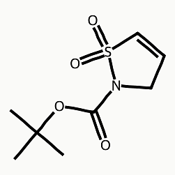 CC(C)(C)OC(=O)N1CC=CS1(=O)=O